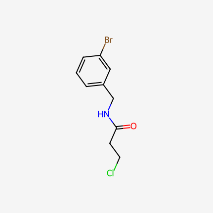 O=C(CCCl)NCc1cccc(Br)c1